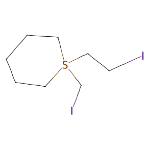 ICCS1(CI)CCCCC1